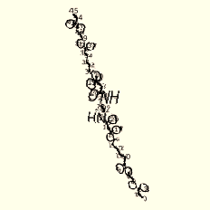 C=CC(=O)OCCOC(=O)CCCCCOC(=O)CC(=O)NCCNC(=O)CC(=O)OCCCCCC(=O)OCCOC(=O)C=C